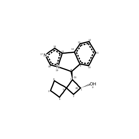 O[C@@H]1CC2(CCC2)[C@H]1C1c2ccccc2-c2cncn21